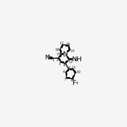 N#Cc1cc(-c2ccc(F)cc2)c(=N)n2ccccc12